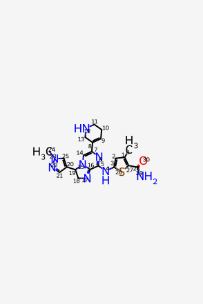 Cc1cc(NC2=NC(C3=CCCNC3)=CN3C2=NCC3c2cnn(C)c2)sc1C(N)=O